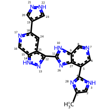 Cc1c[nH]c(-c2cncc3[nH]c(-c4n[nH]c5cnc(-c6cn[nH]c6)cc45)nc23)n1